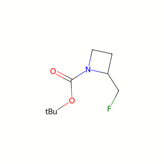 CC(C)(C)OC(=O)N1CCC1CF